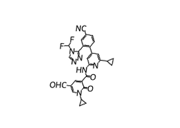 N#Cc1ccc(-c2cc(NC(=O)c3cc(C=O)cn(C4CC4)c3=O)nc(C3CC3)c2)c(-c2nncn2C(F)F)c1